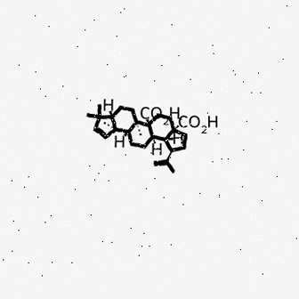 C=C(C)[C@@H]1CC[C@]2(C(=O)O)CC[C@]3(C(=O)O)[C@H](CC[C@@H]4[C@@]5(C)C=CC(C)(C)[C@@H]5CC[C@]43C)[C@@H]12